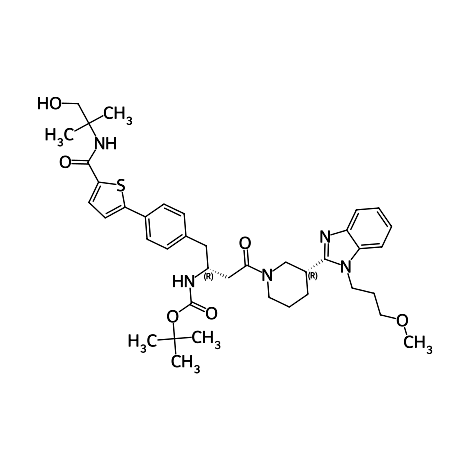 COCCCn1c([C@@H]2CCCN(C(=O)C[C@@H](Cc3ccc(-c4ccc(C(=O)NC(C)(C)CO)s4)cc3)NC(=O)OC(C)(C)C)C2)nc2ccccc21